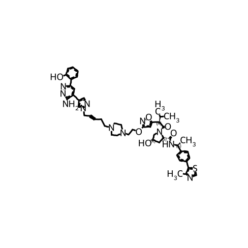 Cc1ncsc1-c1ccc([C@H](C)NC(=O)[C@@H]2C[C@@H](O)CN2C(=O)[C@@H](c2cc(OCCN3CCN(CCC#CCn4cc(-c5cc(-c6ccccc6O)nnc5N)cn4)CC3)no2)C(C)C)cc1